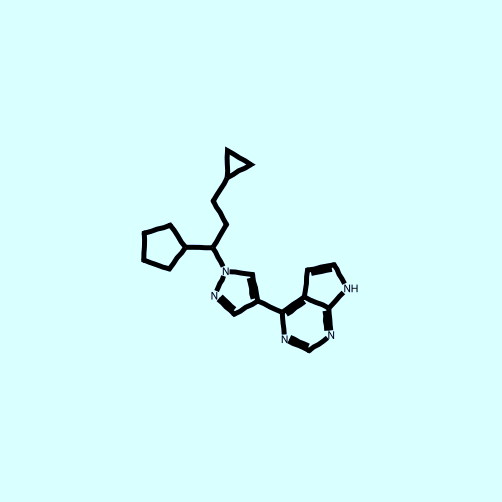 c1nc(-c2cnn(C(CCC3CC3)C3CCCC3)c2)c2cc[nH]c2n1